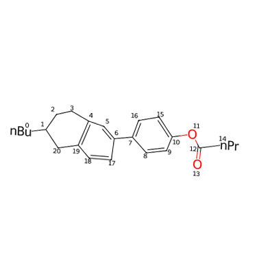 CCCCC1CCc2cc(-c3ccc(OC(=O)CCC)cc3)ccc2C1